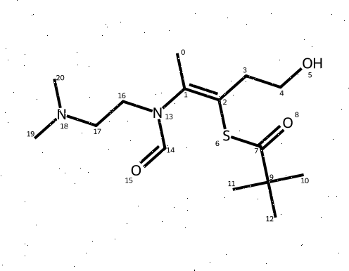 C/C(=C(\CCO)SC(=O)C(C)(C)C)N(C=O)CCN(C)C